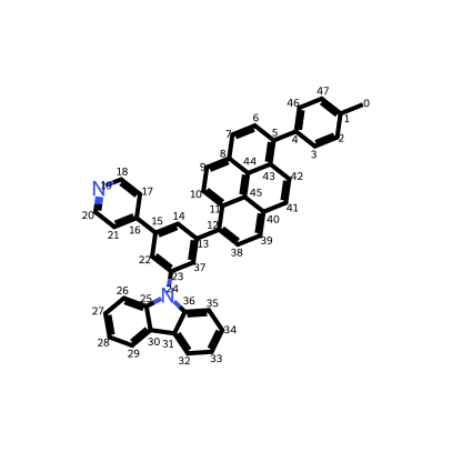 Cc1ccc(-c2ccc3ccc4c(-c5cc(-c6ccncc6)cc(-n6c7ccccc7c7ccccc76)c5)ccc5ccc2c3c54)cc1